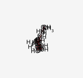 CCN1CCN(CC(=O)O)CCN(CC(=O)O)CCN(C(CCC(=O)NC(Cc2ccc(O)c(C)c2)C(=O)NC(Cc2ccccc2)C2=NOOOC(CCCCNC(=O)CCCCCCC(=O)NCCCCC(NC)C(=O)O)N2)C(=O)O)CC1